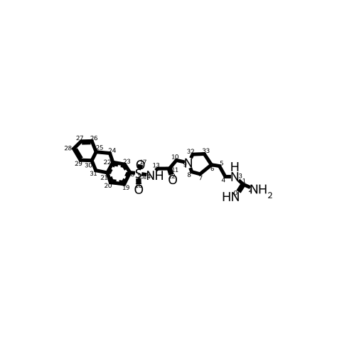 N=C(N)NCCC1CCN(CC(=O)CNS(=O)(=O)c2ccc3c(c2)CC2C=CC=CC2C3)CC1